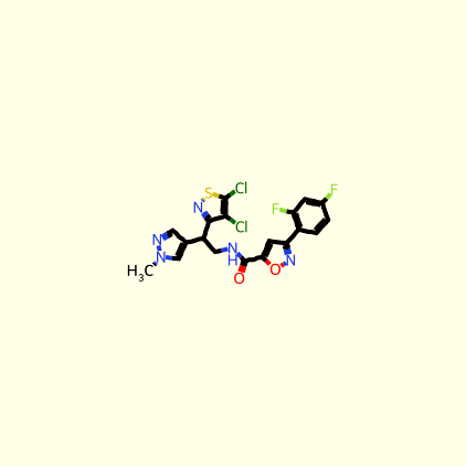 Cn1cc(C(CNC(=O)c2cc(-c3ccc(F)cc3F)no2)c2nsc(Cl)c2Cl)cn1